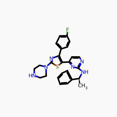 C[C@H](Nc1nccc(-c2sc(N3CCNCC3)nc2-c2ccc(F)cc2)n1)c1ccccc1